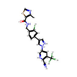 Cc1ncsc1C(=O)NCc1ccc(-c2cnn(-c3cnc(C#N)c(C(F)(F)F)c3)c2)cc1F